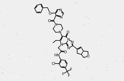 CCc1c(N2CCN(C(=O)c3ncncc3OCc3ccccc3)CC2)c(=O)n2nc(C3=CC4COCC4C3)nc2n1CC(=O)Nc1ccc(C(F)(F)F)cc1Cl